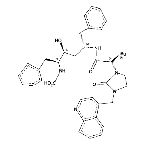 CC[C@H](C)[C@@H](C(=O)N[C@@H](Cc1ccccc1)C[C@H](O)[C@H](Cc1ccccc1)NC(=O)O)N1CCN(Cc2ccnc3ccccc23)C1=O